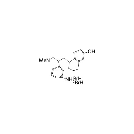 Br.Br.CNCC(CC1CCCc2cc(O)ccc21)c1cccc(N)c1